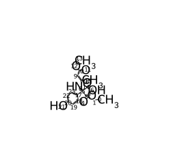 CCOC(=O)C(NC(C)=CC(=O)OC)(C(=O)O)c1ccc(O)cc1